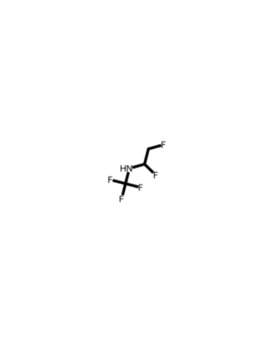 FCC(F)NC(F)(F)F